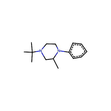 CC1CN(C(C)(C)C)CCN1c1ccccc1